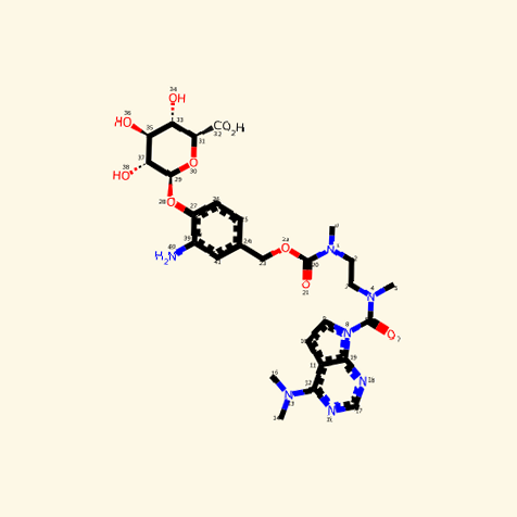 CN(CCN(C)C(=O)n1ccc2c(N(C)C)ncnc21)C(=O)OCc1ccc(O[C@@H]2O[C@H](C(=O)O)[C@@H](O)[C@H](O)[C@H]2O)c(N)c1